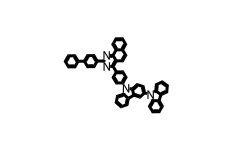 c1ccc(-c2ccc(-c3nc(-c4ccc(-n5c6ccccc6c6cc(-n7c8ccccc8c8ccccc87)ccc65)cc4)c4ccc5ccccc5c4n3)cc2)cc1